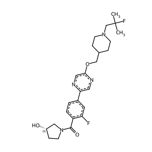 CC(C)(F)CN1CCC(COc2cnc(-c3ccc(C(=O)N4CC[C@H](O)C4)c(F)c3)cn2)CC1